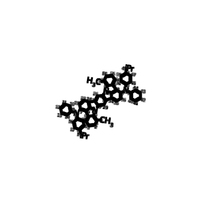 Cc1cccc2c3c(N(c4ccccc4)c4ccc(C(C)C)cc4)ccc4c5cc6c(cc5n(c12)c43)c1ccc(N(c2ccccc2)c2ccc(C(C)C)cc2)c2c3cccc(C)c3n6c12